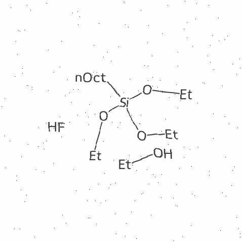 CCCCCCCC[Si](OCC)(OCC)OCC.CCO.F